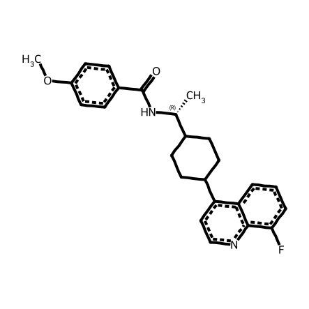 COc1ccc(C(=O)N[C@H](C)C2CCC(c3ccnc4c(F)cccc34)CC2)cc1